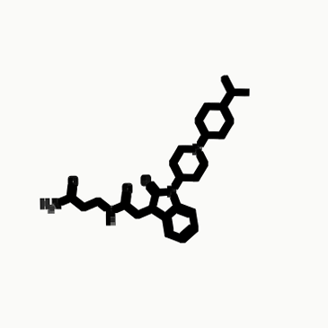 CC(C)C1CCC(N2CCC(N3C(=O)C(CC(=O)NCCC(N)=O)c4ccccc43)CC2)CC1